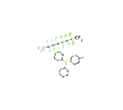 Cc1ccc([S+](c2ccccc2)c2ccccc2)cc1.FC(F)(F)C(F)(F)C(F)(F)C(F)(F)C(F)(F)C(F)(F)C(F)(F)C(F)(F)F